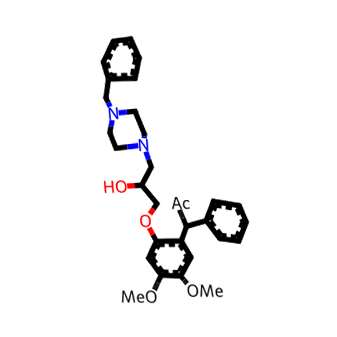 COc1cc(OCC(O)CN2CCN(Cc3ccccc3)CC2)c(C(C(C)=O)c2ccccc2)cc1OC